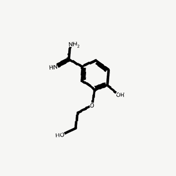 N=C(N)c1ccc(O)c(OCCO)c1